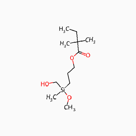 CCC(C)(C)C(=O)OCCC[Si](C)(CO)OC